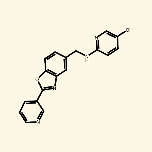 Oc1ccc(NCc2ccc3oc(-c4cccnc4)nc3c2)nc1